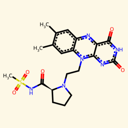 Cc1cc2nc3c(=O)[nH]c(=O)nc-3n(CCN3CCC[C@H]3C(=O)NS(C)(=O)=O)c2cc1C